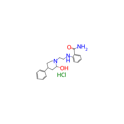 Cl.NC(=O)c1ccccc1NCCN1CCC(c2ccccc2)CC1O